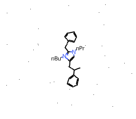 CCCC[n+]1c(CC(C)c2ccccc2)cn(CCC)c1Cc1ccccc1